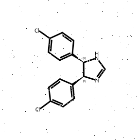 Clc1ccc([C@H]2NC=N[C@H]2c2ccc(Cl)cc2)cc1